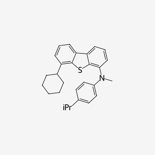 CC(C)c1ccc(N(C)c2cccc3c2sc2c(C4CCCCC4)cccc23)cc1